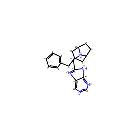 c1ccc(CC2CC3CCC(C2)N3Cc2nc3cncnc3[nH]2)cc1